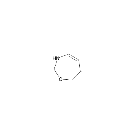 [CH]1C=CNCOC1